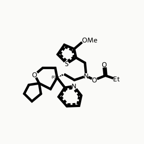 CCC(=O)ON(CC[C@@]1(c2ccccn2)CCOC2(CCCC2)C1)Cc1sccc1OC